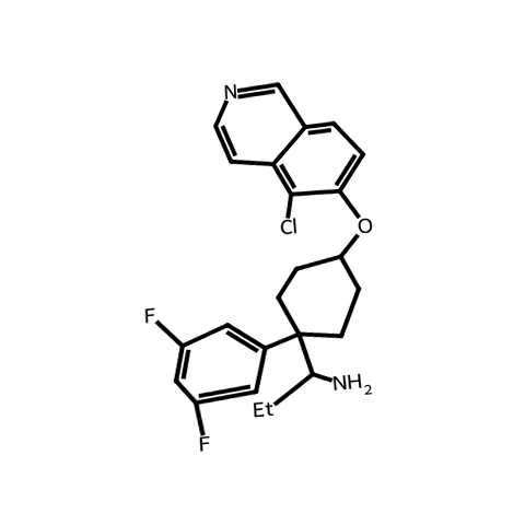 CCC(N)C1(c2cc(F)cc(F)c2)CCC(Oc2ccc3cnccc3c2Cl)CC1